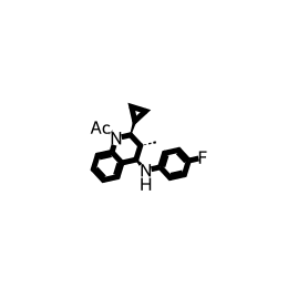 CC(=O)N1c2ccccc2[C@H](Nc2ccc(F)cc2)[C@@H](C)[C@@H]1C1CC1